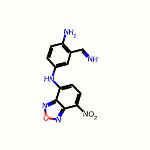 N=Cc1cc(Nc2ccc([N+](=O)[O-])c3nonc23)ccc1N